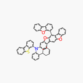 C1=CCC(c2ccccc2N(c2ccc3c(c2)oc2c(-c4cccc5c4oc4ccccc45)c4c(cc23)oc2ccccc24)c2cccc3c2sc2ccccc23)C=C1